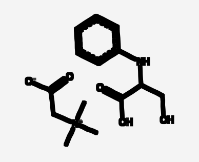 C[N+](C)(C)CC(=O)[O-].O=C(O)C(CO)Nc1ccccc1